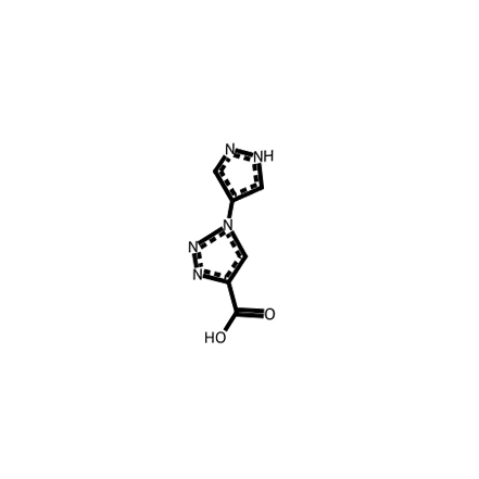 O=C(O)c1cn(-c2cn[nH]c2)nn1